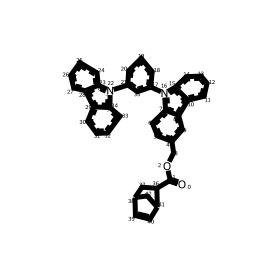 O=C(OCc1ccc2c(c1)c1ccccc1n2-c1cccc(-n2c3ccccc3c3ccccc32)c1)C1CC2C=CC1C2